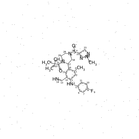 Cc1cc(Nc2ccc(F)cc2)c(C=N)cc1C1CN([S+]([O-])c2cnn(C)n2)CCN1C(=O)C(C)(C)C